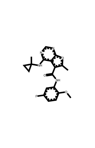 COc1ccc(F)cc1NC(=O)c1c(C)oc2ncnc(NC3(C)CC3)c12